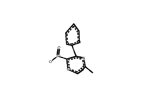 Cc1cnc([N+](=O)[O-])c(-c2ccccc2)n1